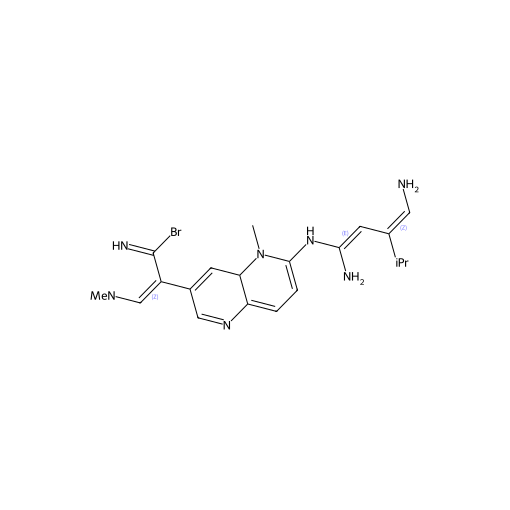 CN/C=C(\C(=N)Br)C1=CC2C(=CC=C(N/C(N)=C/C(=C\N)C(C)C)N2C)N=C1